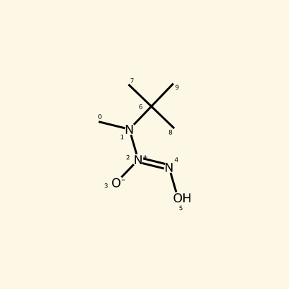 CN(/[N+]([O-])=N/O)C(C)(C)C